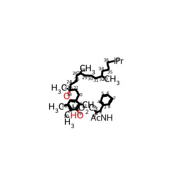 CC(=O)NC(Cc1ccccc1)C(=O)O.Cc1c(C)c2c(c(C)c1O)CC[C@@](C)(CCCC(C)CCCC(C)CCCC(C)C)O2